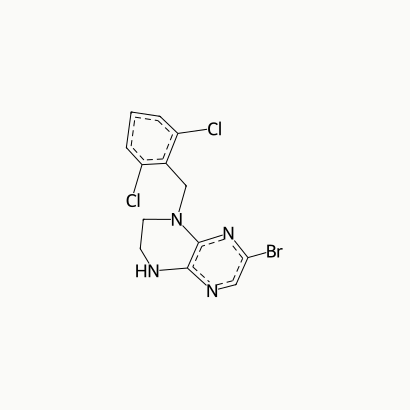 Clc1cccc(Cl)c1CN1CCNc2ncc(Br)nc21